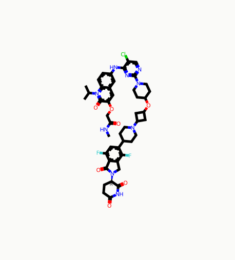 CNC(=O)COc1cc2cc(Nc3nc(N4CCC(OC5CC(N6CCC(c7cc(F)c8c(c7F)CN([C@@H]7CCC(=O)NC7=O)C8=O)CC6)C5)CC4)ncc3Cl)ccc2n(C(C)C)c1=O